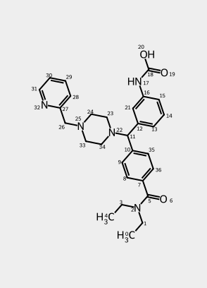 CCN(CC)C(=O)c1ccc(C(c2cccc(NC(=O)O)c2)N2CCN(Cc3ccccn3)CC2)cc1